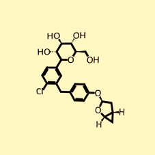 OC[C@H]1OC(c2ccc(Cl)c(Cc3ccc(O[C@H]4C[C@@H]5C[C@@H]5O4)cc3)c2)[C@H](O)[C@@H](O)[C@@H]1O